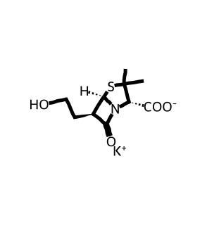 CC1(C)S[C@@H]2[C@H](CCO)C(=O)N2[C@H]1C(=O)[O-].[K+]